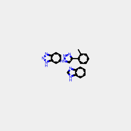 Cc1ccccc1-c1c[nH]nn1.c1ccc2[nH]cnc2c1.c1ccc2[nH]nnc2c1